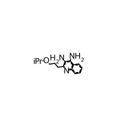 CC(C)OCCCc1nc2ccccc2c(N)c1N